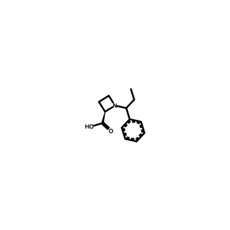 CCC(c1ccccc1)N1CC[C@@H]1C(=O)O